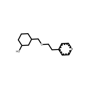 OC1CCCC(COCCc2ccncc2)C1